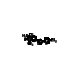 Cc1cnc(-n2cnc(-c3ccc4c(c3)N(C)C(=O)C4(C)C)c2)nc1